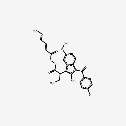 CC=CC=CC(=O)OOC(=O)C(CC)c1c(C)n(C(=O)c2ccc(Cl)cc2)c2ccc(OC)cc12